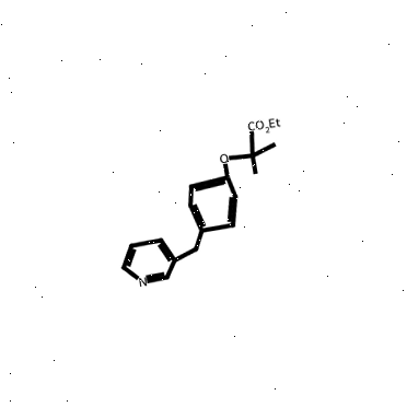 CCOC(=O)C(C)(C)Oc1ccc(Cc2cccnc2)cc1